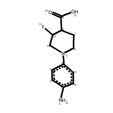 Nc1ccc(N2CCC(C(=O)O)C(F)C2)cc1